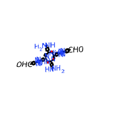 N=C(N)c1ccc(-c2c3nc(c(-c4ccc(-c5nnc(-c6ccc(C=O)cc6)nn5)cc4)c4ccc([nH]4)c(-c4ccc(C(=N)N)cc4)c4nc(c(-c5ccc(-c6nnc(-c7ccc(C=O)cc7)nn6)cc5)c5ccc2[nH]5)C=C4)C=C3)cc1